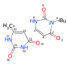 CCC(C)n1c(=O)cc[nH]c1=O.Cc1cc(=O)[nH]c(=O)[nH]1